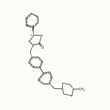 CN1CCN(Cc2ccc(-c3ccc(CN4C[C@@H](c5ccccc5)OC4=O)cc3)cc2)CC1